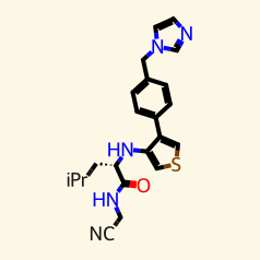 CC(C)C[C@H](Nc1cscc1-c1ccc(Cn2ccnc2)cc1)C(=O)NCC#N